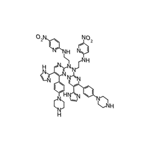 O=[N+]([O-])c1ccc(NCCN(c2ncc(-c3ncc[nH]3)c(-c3ccc(N4CCNCC4)cc3)n2)N(CCNc2ccc([N+](=O)[O-])cn2)c2ncc(-c3ncc[nH]3)c(-c3ccc(N4CCNCC4)cc3)n2)nc1